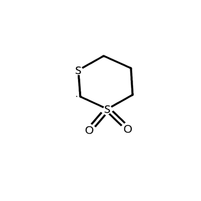 O=S1(=O)[CH]SCCC1